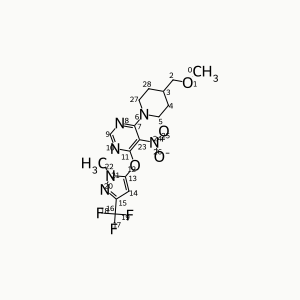 COCC1CCN(c2ncnc(Oc3cc(C(F)(F)F)nn3C)c2[N+](=O)[O-])CC1